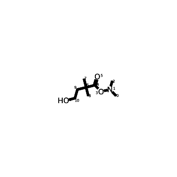 CN(C)OC(=O)C(C)(C)CCO